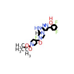 CC(C)(C)OC(=O)N1CCC(F)(C(=O)N2CCN3c4cc(-c5cc(F)cc(F)c5O)nnc4NC[C@H]3C2)CC1